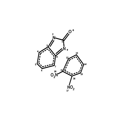 O=C1N=c2ccccc2=N1.O=[N+]([O-])c1ccccc1[N+](=O)[O-]